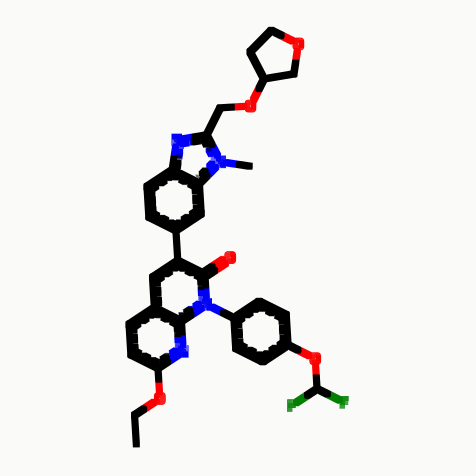 CCOc1ccc2cc(-c3ccc4nc(COC5CCOC5)n(C)c4c3)c(=O)n(-c3ccc(OC(F)F)cc3)c2n1